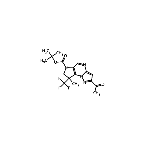 CC(=O)c1cc2ncc3c(n2n1)C(C)(C(F)(F)F)CN3C(=O)OC(C)(C)C